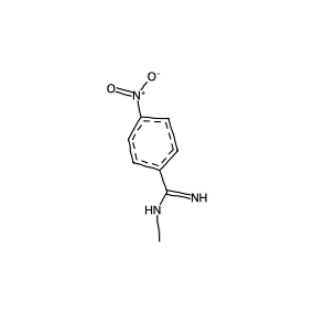 CNC(=N)c1ccc([N+](=O)[O-])cc1